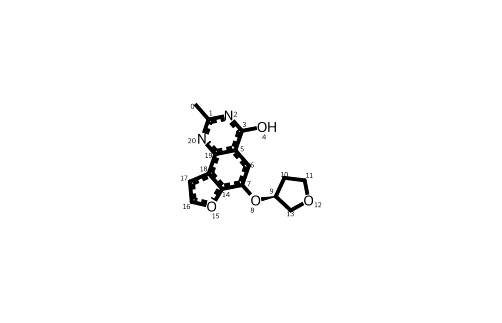 Cc1nc(O)c2cc(O[C@H]3CCOC3)c3occc3c2n1